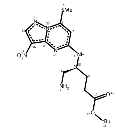 CSc1cc(N[C@H](CN)CCC(=O)OC(C)(C)C)nc2c([N+](=O)[O-])cnn12